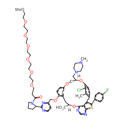 COCCOCCOCCOCCOCCOCCOCCC(=O)N1CCCC1c1nccc(COc2ccc3cc2C[C@H](C(=O)O)Oc2ncnc4sc(-c5ccc(F)cc5)c(c24)-c2ccc(c(Cl)c2C)O[C@H](CN2CCN(C)CC2)CO3)n1